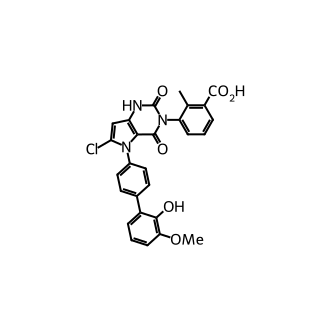 COc1cccc(-c2ccc(-n3c(Cl)cc4[nH]c(=O)n(-c5cccc(C(=O)O)c5C)c(=O)c43)cc2)c1O